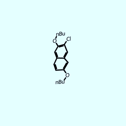 CCCCOc1ccc2cc(OCCCC)c(Cl)cc2c1